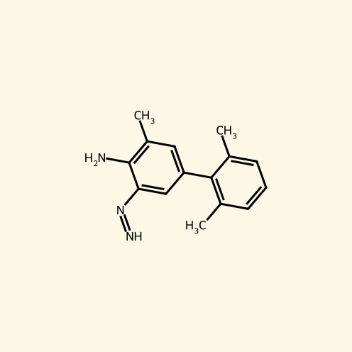 Cc1cc(-c2c(C)cccc2C)cc(N=N)c1N